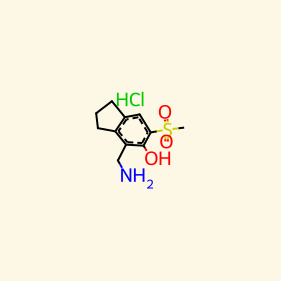 CS(=O)(=O)c1cc2c(c(CN)c1O)CCC2.Cl